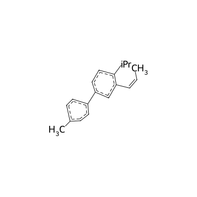 C/C=C\c1cc(-c2ccc(C)cc2)ccc1C(C)C